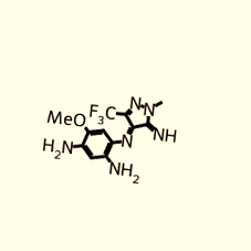 COc1cc(N=C2C(=N)N(C)N=C2C(F)(F)F)c(N)cc1N